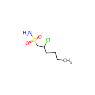 CCCCC(Cl)CS(N)(=O)=O